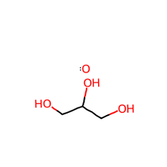 OCC(O)CO.[O]